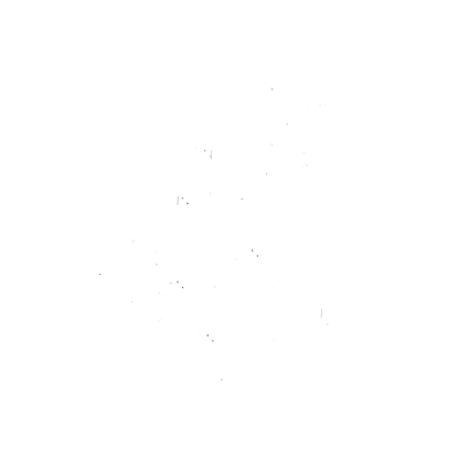 O=C(c1ncccc1-c1ncccc1F)N1CC2CCC1(CNc1ccc(C(F)(F)F)cn1)C2